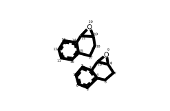 c1ccc2c(c1)CCC1OC21.c1ccc2c(c1)CCC1OC21